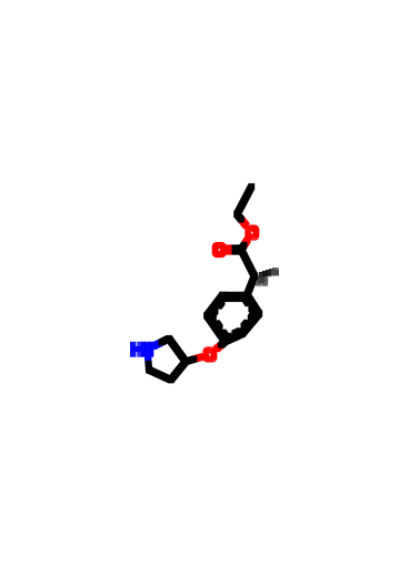 CCOC(=O)[C@H](C)c1ccc(OC2CCNC2)cc1